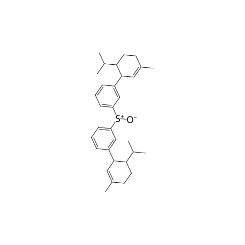 CC1=CC(c2cccc([S+]([O-])c3cccc(C4C=C(C)CCC4C(C)C)c3)c2)C(C(C)C)CC1